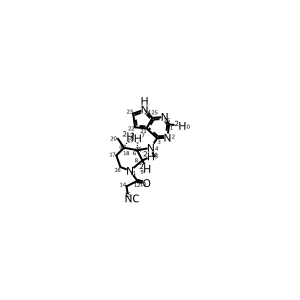 [2H]c1nc(N(C)[C@@]2([2H])C([2H])([2H])N(C(=O)C[N+]#[C-])CC[C@@]2([2H])C)c2cc[nH]c2n1